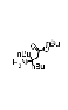 CCCCOC(=O)CC(N)(CCCC)CCCC